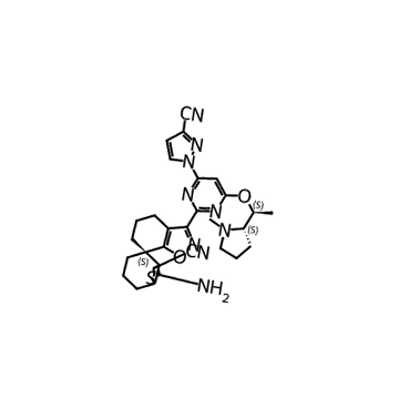 C[C@H](Oc1cc(-n2ccc(C#N)n2)nc(-c2noc3c2CCC[C@@]32CCCc3sc(N)c(C#N)c32)n1)[C@@H]1CCCN1C